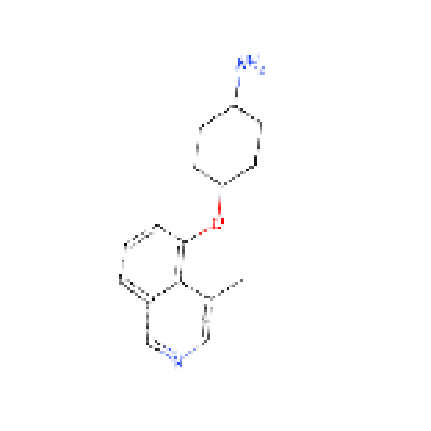 Cc1cncc2cccc(OC3CCC(N)CC3)c12